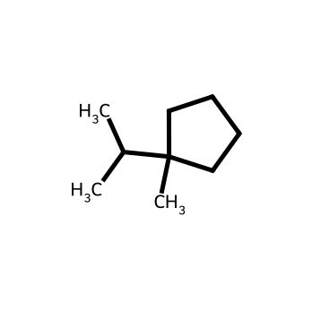 CC(C)C1(C)CCCC1